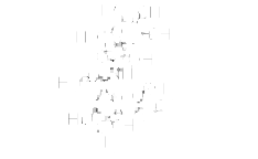 C=C1C[C@](OC)([C@H](O)C(=O)N[C@@H](OC)[C@@H]2C[C@@H](O)C(C)(C)[C@@H](C[C@@H](CC)OC)O2)OC(C)C1C